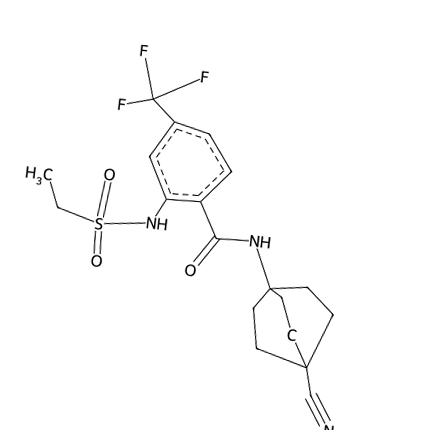 CCS(=O)(=O)Nc1cc(C(F)(F)F)ccc1C(=O)NC12CCC(C#N)(CC1)CC2